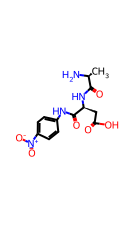 C[C@H](N)C(=O)N[C@@H](CC(=O)O)C(=O)Nc1ccc([N+](=O)[O-])cc1